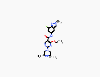 CCOc1nc(N2C[C@@H](C)N[C@@H](C)C2)ncc1C(=O)Nc1cc(F)c2nn(C)cc2c1